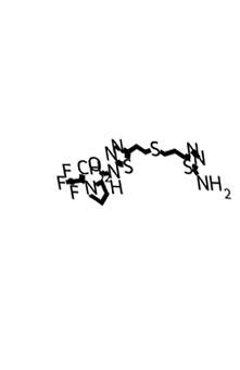 C=C(N1CCC[C@H]1C(=O)Nc1nnc(CCSCCc2nnc(N)s2)s1)C(F)(F)F